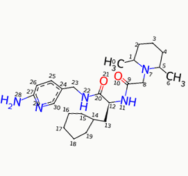 CC1CCCC(C)N1CC(=O)N[C@@H](CC1CCCCC1)C(=O)NCc1ccc(N)nc1